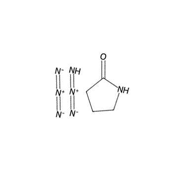 O=C1CCCN1.[N-]=[N+]=N.[N-]=[N+]=[N-]